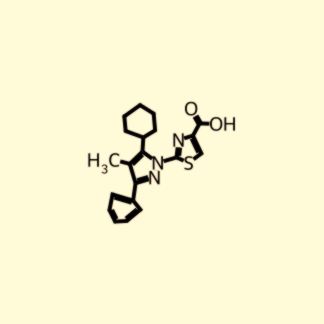 Cc1c(-c2ccccc2)nn(-c2nc(C(=O)O)cs2)c1C1CCCCC1